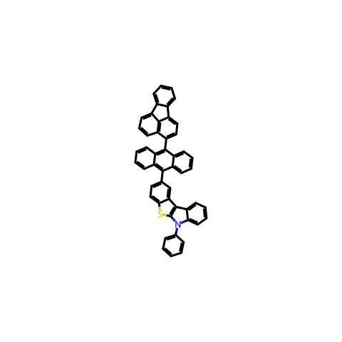 c1ccc(-n2c3ccccc3c3c4cc(-c5c6ccccc6c(-c6ccc7c8c(cccc68)-c6ccccc6-7)c6ccccc56)ccc4sc32)cc1